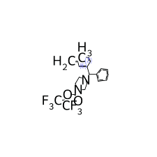 C=C/C=C(\C=C/C)C(c1ccccc1)N1CCN(C(=O)OC(C(F)(F)F)C(F)(F)F)CC1